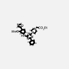 CCOC(=O)CN1CCN(c2nc(Nc3ccc(-c4cnco4)c(OC)c3)nc(-c3ccccc3)n2)CC1